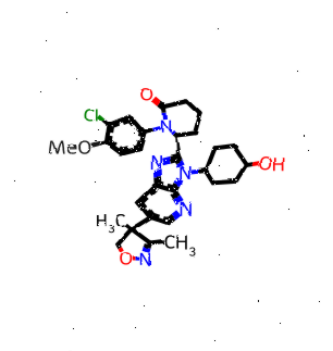 COc1ccc(N2C(=O)CCC[C@H]2c2nc3cc(C4(C)CON=C4C)cnc3n2C2CCC(O)CC2)cc1Cl